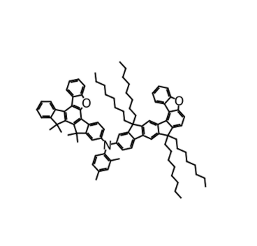 CCCCCCCCC1(CCCCCCCC)c2cc(N(c3ccc4c(c3)C(C)(C)c3c5c(c6c(oc7ccccc76)c3-4)-c3ccccc3C5(C)C)c3ccc(C)cc3C)ccc2-c2cc3c(cc21)-c1c(ccc2oc4ccccc4c12)C3(CCCCCCCC)CCCCCCCC